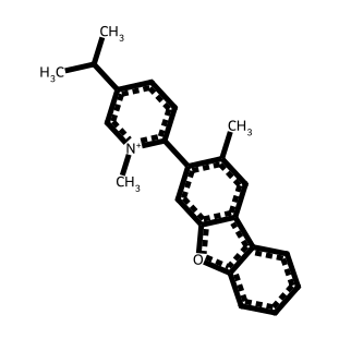 Cc1cc2c(cc1-c1ccc(C(C)C)c[n+]1C)oc1ccccc12